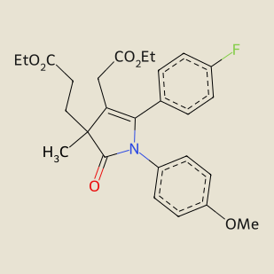 CCOC(=O)CCC1(C)C(=O)N(c2ccc(OC)cc2)C(c2ccc(F)cc2)=C1CC(=O)OCC